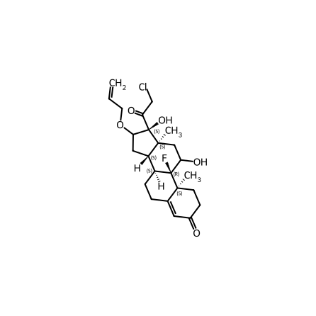 C=CCOC1C[C@H]2[C@@H]3CCC4=CC(=O)CC[C@]4(C)[C@@]3(F)C(O)C[C@]2(C)[C@@]1(O)C(=O)CCl